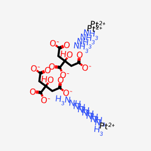 N.N.N.N.N.N.N.N.N.N.N.N.O=C([O-])CC(O)(CC(=O)[O-])C(=O)[O-].O=C([O-])CC(O)(CC(=O)[O-])C(=O)[O-].[Pt+2].[Pt+2].[Pt+2]